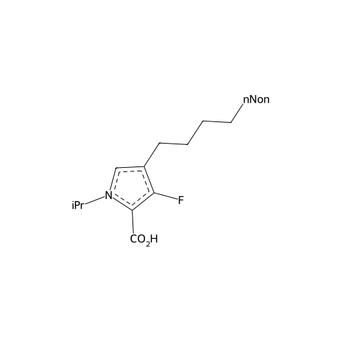 CCCCCCCCCCCCCc1cn(C(C)C)c(C(=O)O)c1F